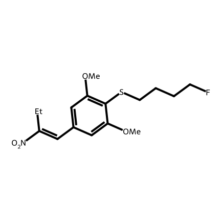 CC/C(=C\c1cc(OC)c(SCCCCF)c(OC)c1)[N+](=O)[O-]